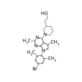 Cc1nc(N2CCCC(CCO)C2)c2c(C)cn(-c3c(C)cc(Br)cc3C)c2n1